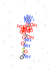 CC(C)(COP(=O)(O)OP(=O)(O)OC[C@H]1O[C@@H](n2cnc3c(N)ncnc32)[C@H](O)[C@@H]1OP(=O)(O)O)[C@@H](O)C(=O)NCCC(=O)NCCSC(=O)Cc1c[nH]c2ccccc12